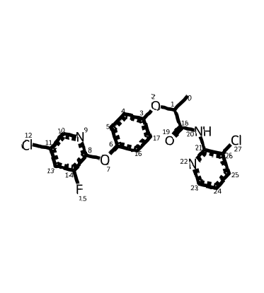 CC(Oc1ccc(Oc2ncc(Cl)cc2F)cc1)C(=O)Nc1ncccc1Cl